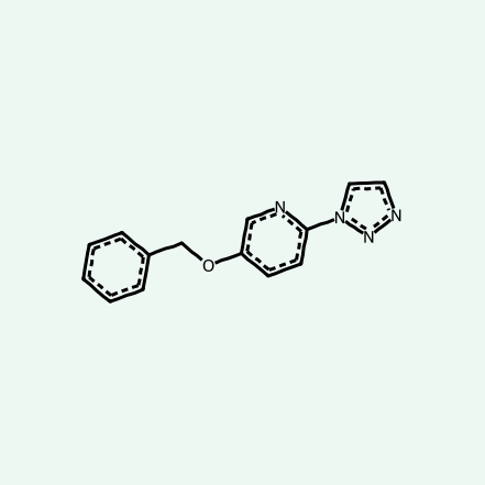 c1ccc(COc2ccc(-n3ccnn3)nc2)cc1